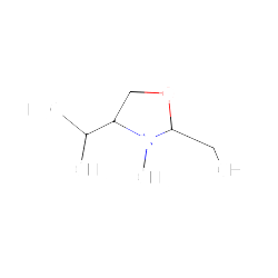 CCC1OCC(C(C)C)N1C